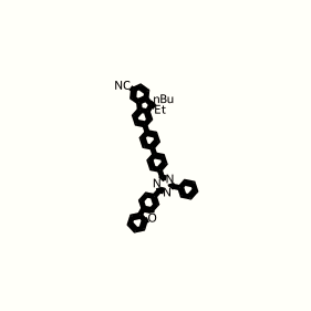 CCCCC1(CC)c2ccc(C#N)cc2-c2ccc(-c3ccc(-c4ccc(-c5nc(C6=Cc7oc8ccccc8c7CC6)nc(-c6ccccc6)n5)cc4)cc3)cc21